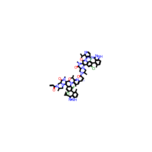 C=CC(=O)N1CC2C(=O)N(C)c3c(c4cc(Cl)c(-c5c(C)ccc6[nH]nc(C7CC7)c56)c(F)c4n(-c4c(C)cc(/C=C\C(=O)N5CC6C(=O)N(C)c7c(c8cc(Cl)c(-c9c(C)ccc%10[nH]nc(N)c9%10)c(F)c8n(-c8c(C)ccnc8C(C)C)c7=O)N6CC5C)nc4C(C)C)c3=O)N2CC1C